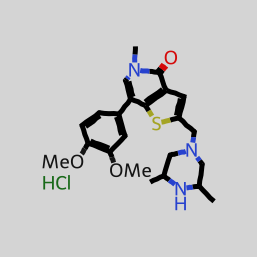 COc1ccc(-c2cn(C)c(=O)c3cc(CN4CC(C)NC(C)C4)sc23)cc1OC.Cl